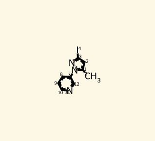 Cc1cc(I)nn1-c1cccnc1